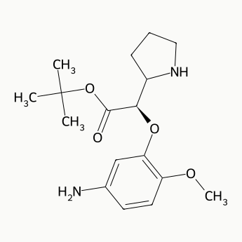 COc1ccc(N)cc1O[C@@H](C(=O)OC(C)(C)C)C1CCCN1